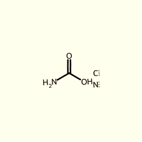 NC(=O)O.[C].[N]